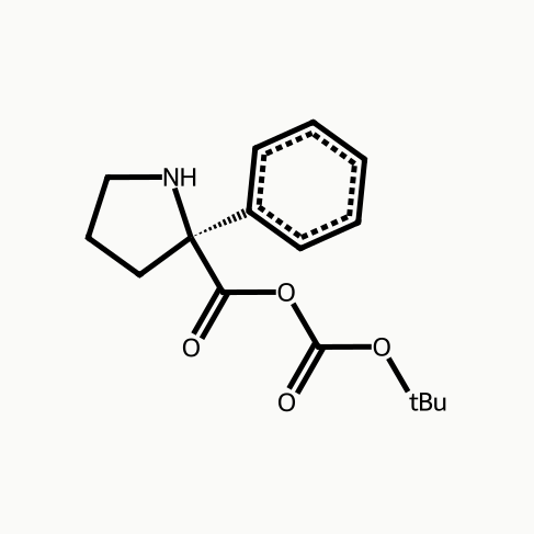 CC(C)(C)OC(=O)OC(=O)[C@@]1(c2ccccc2)CCCN1